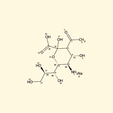 CC(=O)C1[C@H](O)[C@@H](N)[C@H]([C@H](O)[C@H](O)CO)OC1(O)C(=O)O.[Na]